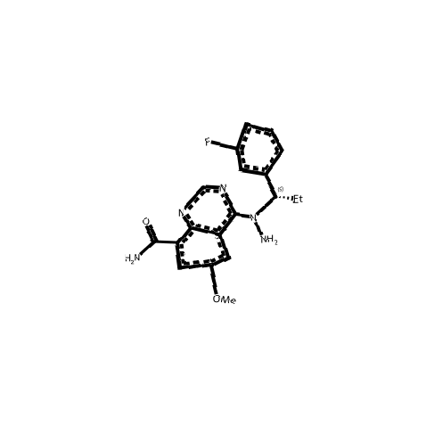 CC[C@@H](c1cccc(F)c1)N(N)c1ncnc2c(C(N)=O)cc(OC)cc12